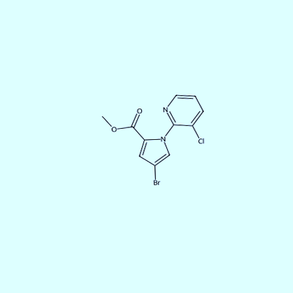 COC(=O)c1cc(Br)cn1-c1ncccc1Cl